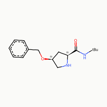 CC(C)(C)NC(=O)[C@@H]1C[C@H](OCc2ccccc2)CN1